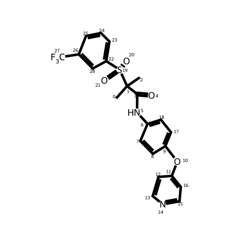 CC(C)(C(=O)Nc1ccc(Oc2ccncc2)cc1)S(=O)(=O)c1cccc(C(F)(F)F)c1